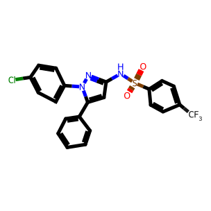 O=S(=O)(Nc1cc(-c2ccccc2)n(-c2ccc(Cl)cc2)n1)c1ccc(C(F)(F)F)cc1